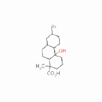 CC(C)C1CCC2C(CCC3C(C)(C(=O)O)CCCC23O)C1